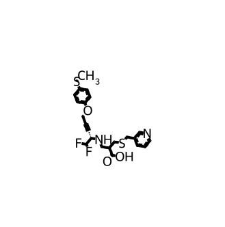 CSc1ccc(OCC#C[C@H](NCC(CSCc2cccnc2)C(=O)O)C(F)F)cc1